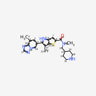 Cc1cc(-c2[nH]c3cc(C(=O)N(C)CC4CCNCC4)sc3c2C(C)C)cn2ncnc12